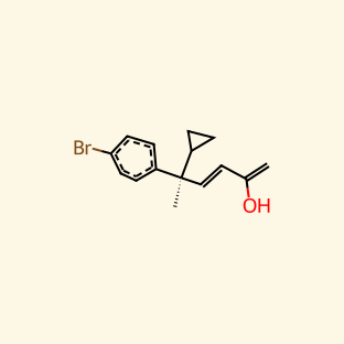 C=C(O)/C=C/[C@@](C)(c1ccc(Br)cc1)C1CC1